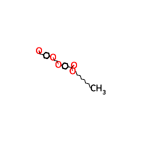 CCCCCCCCCOC(=O)c1ccc(OCCOc2ccc(C=O)cc2)cc1